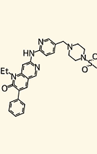 CCn1c(=O)c(-c2ccccc2)cc2cnc(Nc3ccc(CN4CCN(S(C)(=O)=O)CC4)cn3)cc21